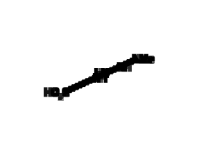 CNCCCCCCCCNCCCCCCCCNCCCCNCCCCCCCCCCCCCCCCCC(=O)O